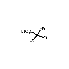 CCOC(=O)C(CC)(CC)C(C)(C)C